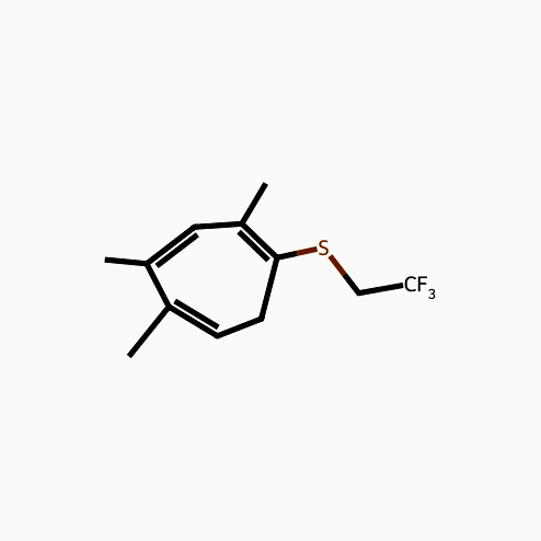 CC1=CCC(SCC(F)(F)F)=C(C)C=C1C